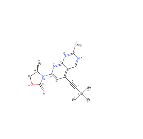 CSc1ncc2c(C#C[Si](C(C)C)(C(C)C)C(C)C)cc(N3C(=O)OC[C@H]3C(C)C)nc2n1